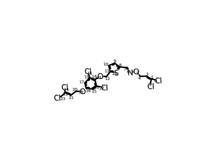 ClC(Cl)=CCON=Cc1ccc(COc2c(Cl)cc(OCC=C(Cl)Cl)cc2Cl)s1